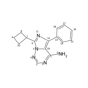 Nc1ncnn2c(C3CCC3)nc(-c3ccccc3)c12